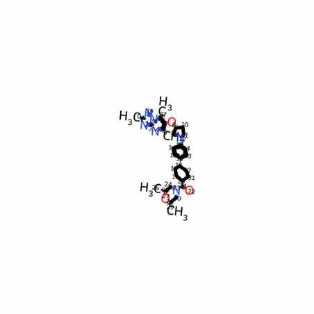 Cc1nc2nc(C)c(O[C@@H]3CCN(c4ccc([C@H]5CC[C@H](C(=O)N6C[C@H](C)O[C@@H](C)C6)CC5)cc4)C3)c(C)n2n1